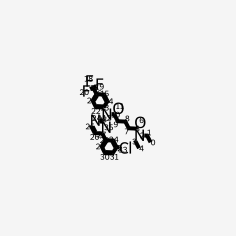 CCN(CC)C(=O)CCCC(=O)N(c1ccc(C(F)(F)F)cc1)c1nccc(-c2cccc(Cl)c2)n1